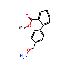 CC(C)(C)OC(=O)c1ccccc1-c1ccc(CON)cc1